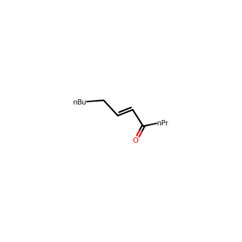 CCCCCC=CC(=O)CCC